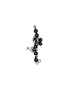 CN1C(=O)C(c2ccc(OCc3ccc(Cl)c(Cl)c3)cc2)Oc2cc3c(cc21)CC(C(=O)N[C@@H](Cc1ccc(-c2ccc(C#N)cc2)cc1)C(=O)O)N(CC1(c2ccccc2)CCCC1)C3